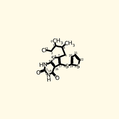 CC(CCl)C(C)Cc1sc2[nH]c(=O)[nH]c(=O)c2c1Sc1cccs1